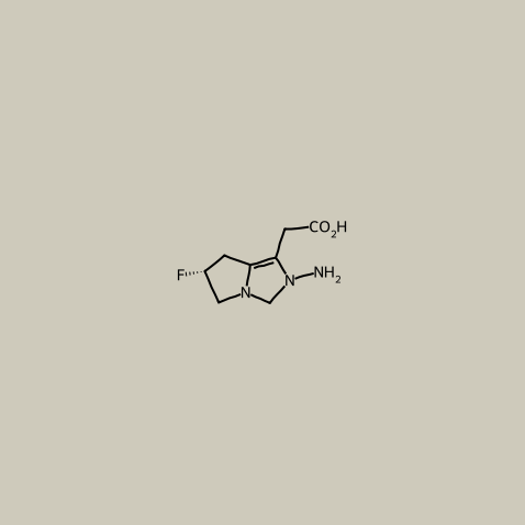 NN1CN2C[C@H](F)CC2=C1CC(=O)O